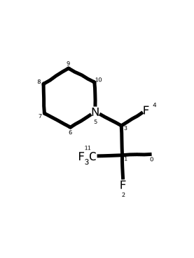 CC(F)(C(F)N1CCCCC1)C(F)(F)F